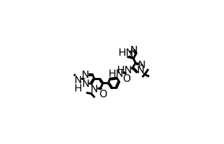 CNc1ncc2cc(-c3cccc(NC(=O)Nc4cn(C(C)(C)C)nc4-c4cn[nH]c4)c3)c(=O)n(C(C)C)c2n1